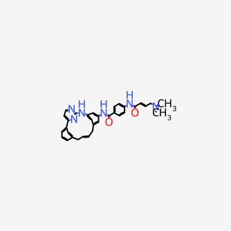 CN(C)C/C=C/C(=O)Nc1ccc(C(=O)Nc2cc3cc(c2)Nc2nccc(n2)-c2cccc(c2)C/C=C/C3)cc1